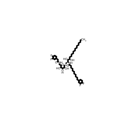 CCCCCCCCCCCCCC[C@@H](O)[C@@H](O)[C@H](CO[C@H]1OC(CNC(=O)Cc2ccc(F)c(F)c2)[C@H](O)[C@H](O)C1O)NC(=O)CCCCCCCCCCc1ccc(F)c(F)c1